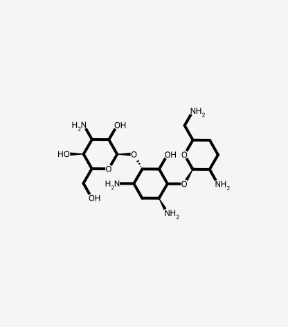 NCC1CCC(N)[C@@H](OC2C(O)[C@@H](O[C@H]3OC(CO)[C@@H](O)C(N)C3O)C(N)C[C@@H]2N)O1